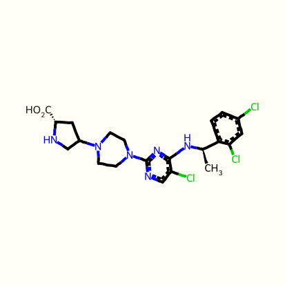 C[C@@H](Nc1nc(N2CCN(C3CN[C@H](C(=O)O)C3)CC2)ncc1Cl)c1ccc(Cl)cc1Cl